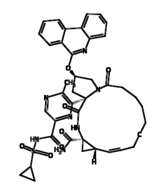 Cc1ncc(C(=O)NS(=O)(=O)C2CC2)nc1[C@]12C[C@@H](Oc3nc4ccccc4c4ccccc34)CN1C(=O)CCCCCC/C=C\[C@@H]1C[C@@]1(C(N)=O)NC2=O